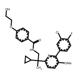 COc1ccc(C(C)(CNC(=O)c2ccc(OCCO)cc2)C2CC2)nc1-c1ccc(F)c(Cl)c1